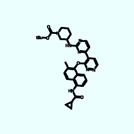 Cc1ccc2c(NC(=O)C3CC3)cccc2c1Oc1nnccc1-c1ccnc(NC2CCCN(C(=O)OC(C)(C)C)C2)n1